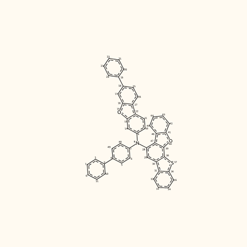 c1ccc(-c2ccc(N(c3ccc4c(c3)oc3cc(-c5ccccc5)ccc34)c3cc4c5ccccc5sc4c4oc5ccccc5c34)cc2)cc1